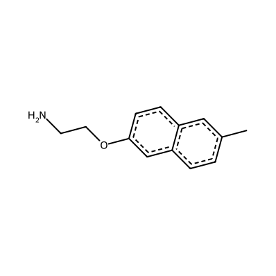 Cc1ccc2cc(OCCN)ccc2c1